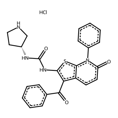 Cl.O=C(Nc1sc2c(ccc(=O)n2-c2ccccc2)c1C(=O)c1ccccc1)N[C@@H]1CCNC1